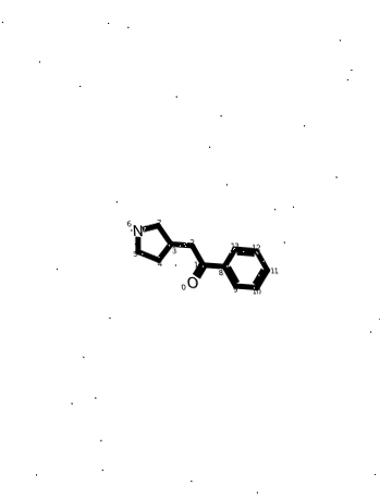 O=C(CC1CC[N]C1)c1ccccc1